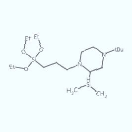 CCO[Si](CCCN1CCN(C(C)(C)C)CC1[SiH](C)C)(OCC)OCC